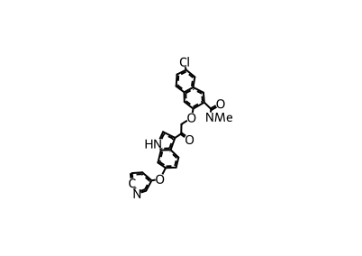 CNC(=O)c1cc2cc(Cl)ccc2cc1OCC(=O)c1c[nH]c2cc(Oc3cccnc3)ccc12